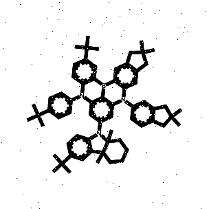 CC1(C)Cc2ccc(N3c4cc5c(cc4B4c6cc(C(C)(C)C)ccc6N(c6ccc(C(C)(C)C)cc6)c6cc(N7c8ccc(C(C)(C)C)cc8C8(C)CCCCC78C)cc3c64)CC(C)(C)C5)cc2C1